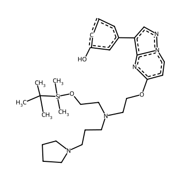 CC(C)(C)[Si](C)(C)OCCN(CCCN1CCCC1)CCOc1ccn2ncc(-c3cccc(O)c3)c2n1